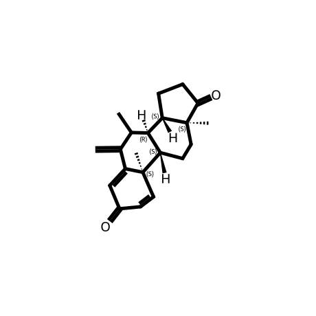 C=C1C2=CC(=O)C=C[C@]2(C)[C@H]2CC[C@]3(C)C(=O)CC[C@H]3[C@@H]2C1C